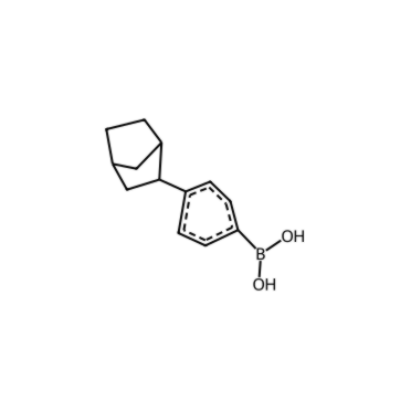 OB(O)c1ccc(C2CC3CCC2C3)cc1